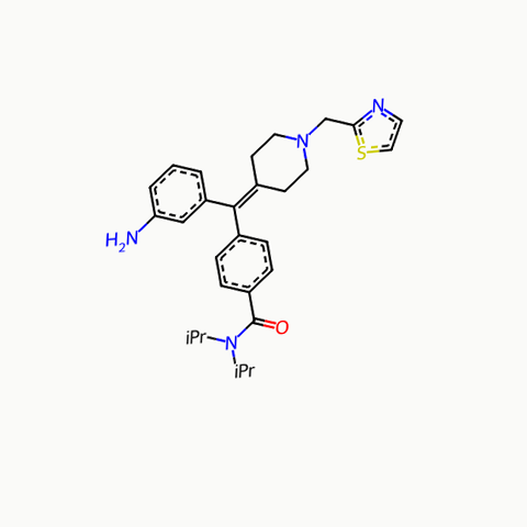 CC(C)N(C(=O)c1ccc(C(=C2CCN(Cc3nccs3)CC2)c2cccc(N)c2)cc1)C(C)C